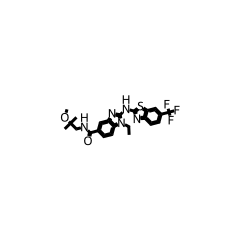 CCn1c(Nc2nc3ccc(C(F)(F)F)cc3s2)nc2cc(C(=O)NCC(C)(C)OC)ccc21